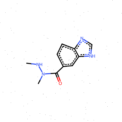 CNN(C)C(=O)c1ccc2nc[nH]c2c1